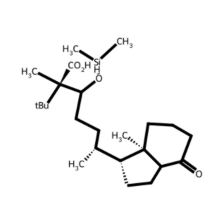 C[C@H](CCC(O[SiH](C)C)[C@](C)(C(=O)O)C(C)(C)C)[C@H]1CCC2C(=O)CCC[C@@]21C